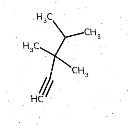 C#CC(C)(C)C(C)C